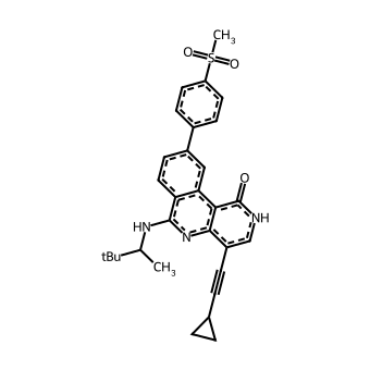 CC(Nc1nc2c(C#CC3CC3)c[nH]c(=O)c2c2cc(-c3ccc(S(C)(=O)=O)cc3)ccc12)C(C)(C)C